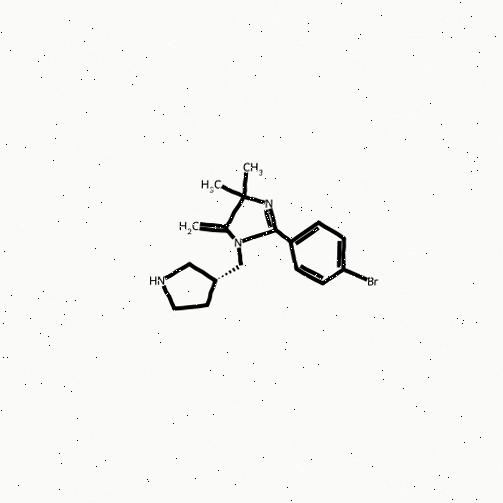 C=C1N(C[C@@H]2CCNC2)C(c2ccc(Br)cc2)=NC1(C)C